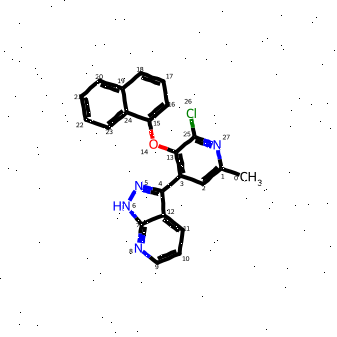 Cc1cc(-c2n[nH]c3ncccc23)c(Oc2cccc3ccccc23)c(Cl)n1